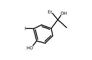 CCC(C)(O)c1ccc(O)c(I)c1